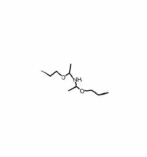 CCCOC(C)NC(C)OCCC